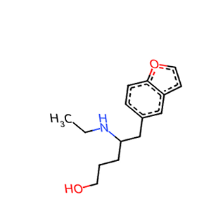 CCNC(CCCO)Cc1ccc2occc2c1